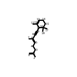 C=C(C)CCC=C(C)C#CC1C(C)=CCCC1(C)C